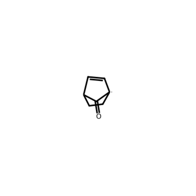 O=C1[C]2C=CC1CC2